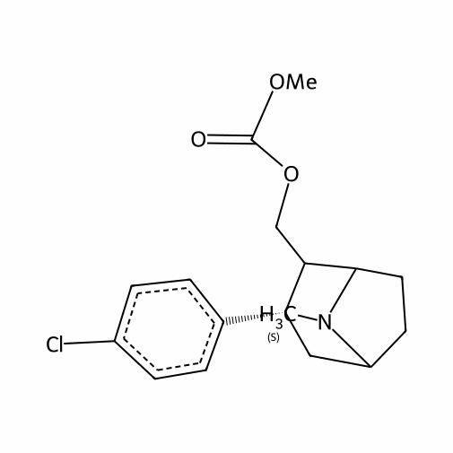 COC(=O)OCC1C2CCC(C[C@@H]1c1ccc(Cl)cc1)N2C